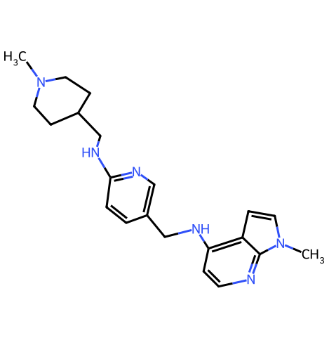 CN1CCC(CNc2ccc(CNc3ccnc4c3ccn4C)cn2)CC1